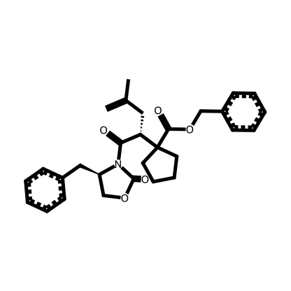 C=C(C)C[C@@H](C(=O)N1C(=O)OC[C@H]1Cc1ccccc1)C1(C(=O)OCc2ccccc2)CCCC1